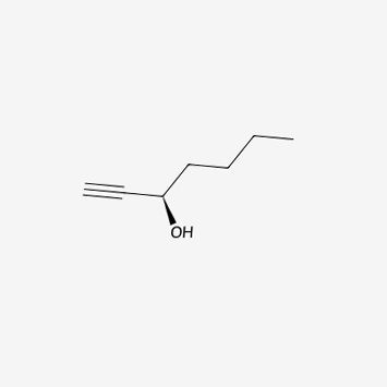 C#C[C@H](O)CCCC